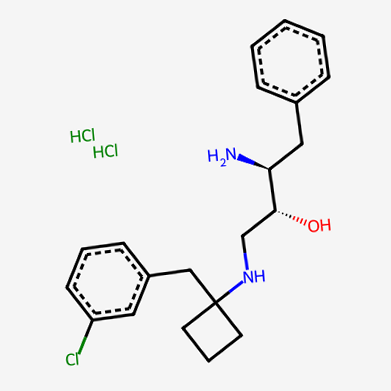 Cl.Cl.N[C@@H](Cc1ccccc1)[C@H](O)CNC1(Cc2cccc(Cl)c2)CCC1